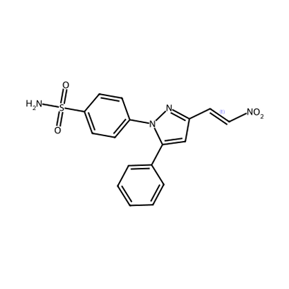 NS(=O)(=O)c1ccc(-n2nc(/C=C/[N+](=O)[O-])cc2-c2ccccc2)cc1